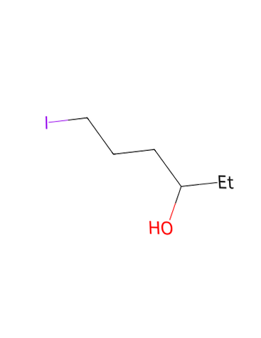 CCC(O)CCCI